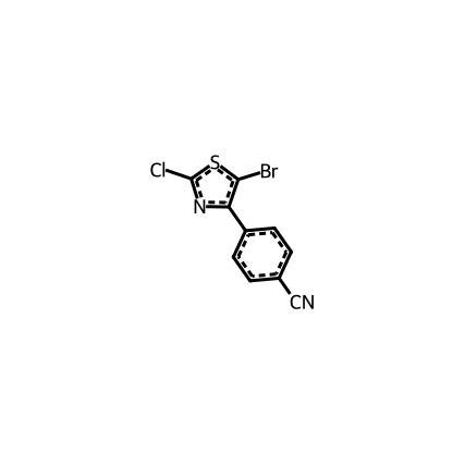 N#Cc1ccc(-c2nc(Cl)sc2Br)cc1